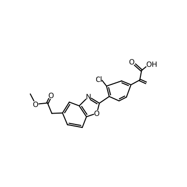 C=C(C(=O)O)c1ccc(-c2nc3cc(CC(=O)OC)ccc3o2)c(Cl)c1